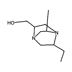 CCC1CN2CC(C)N1CC2CO